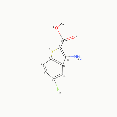 COC(=O)c1sc2ccc(F)cc2c1N